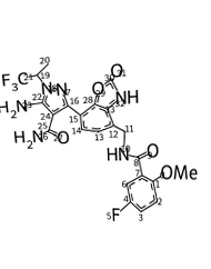 COc1ccc(F)cc1C(=O)NCc1ccc(-c2nn(C(C)C(F)(F)F)c(N)c2C(N)=O)c2oc(=O)[nH]c12